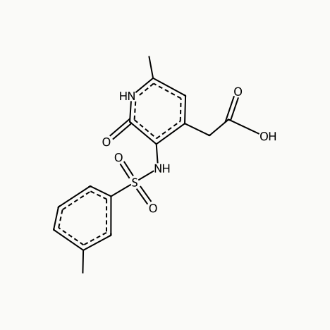 Cc1cccc(S(=O)(=O)Nc2c(CC(=O)O)cc(C)[nH]c2=O)c1